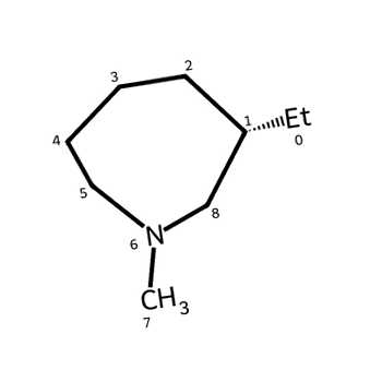 CC[C@H]1CCCCN(C)C1